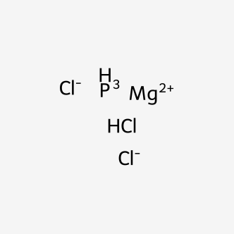 Cl.P.[Cl-].[Cl-].[Mg+2]